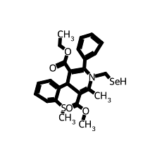 CCOC(=O)C1=C(c2ccccc2)N(C[SeH])C(C)=C(C(=O)OC)C1c1ccccc1SC